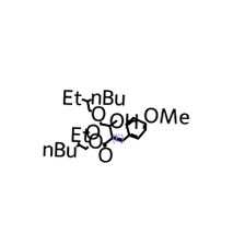 CCCCC(CC)COC(=O)/C(=C/c1ccc(OC)cc1)C(O)C(=O)OCC(CC)CCCC